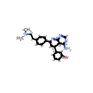 CN(C)CCc1ccc(-c2cc(-c3cccc(Br)c3)c3c(N)ncnc3n2)cc1